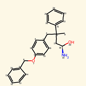 CC(Cc1ccc(OCc2ccccc2)cc1)(C[C@H](N)O)c1ccccc1